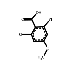 COc1cc(Cl)c(C(=O)O)c(Cl)c1